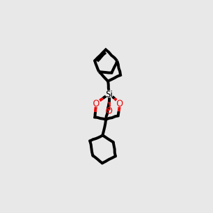 C1=CC2CC1CC2[Si]12OCC(C3CCCCC3)(CO1)CO2